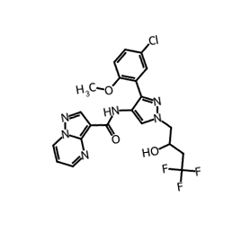 COc1ccc(Cl)cc1-c1nn(CC(O)CC(F)(F)F)cc1NC(=O)c1cnn2cccnc12